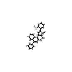 COc1ccccc1-c1cc2cc(N=C(c3ccccc3)c3ccccc3)ncc2n1C